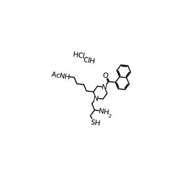 CC(=O)NCCCCC1CN(C(=O)c2cccc3ccccc23)CCN1CC(N)CS.Cl.Cl